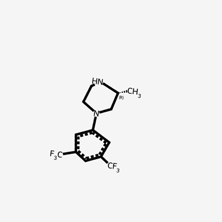 C[C@@H]1CN(c2cc(C(F)(F)F)cc(C(F)(F)F)c2)CCN1